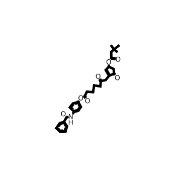 CC(C)(C)CC(=O)OC1C=C(CC(=O)CCCCC(=O)Oc2ccc(NC(=O)c3ccccc3)cc2)C(=O)C1